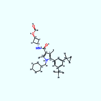 Cc1c(C(=O)N[C@H]2C[C@H](OC=O)C2)c(C)n(CC2CCCCC2)c1-c1cc(C(C)(C)C)cc(C2(C)CC2)c1